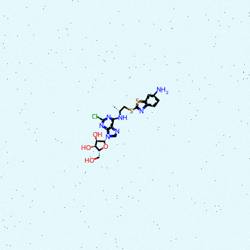 C[C@H](CSc1nc2ccc(N)cc2s1)Nc1nc(Cl)nc2c1ncn2[C@@H]1O[C@H](CO)[C@@H](O)[C@H]1O